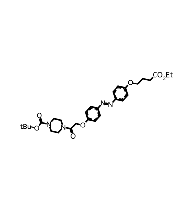 CCOC(=O)CCCOc1ccc(N=Nc2ccc(OCC(=O)N3CCN(C(=O)OC(C)(C)C)CC3)cc2)cc1